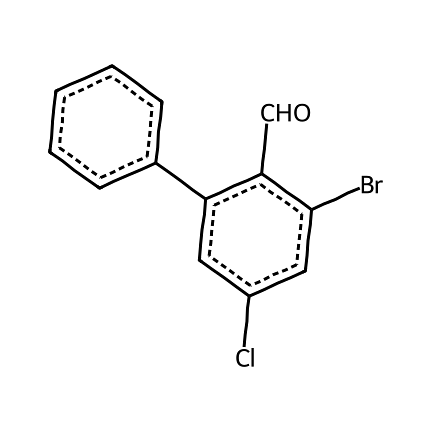 O=Cc1c(Br)cc(Cl)cc1-c1ccccc1